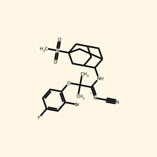 CC(C)(Oc1ccc(F)cc1Br)/C(=N/C#N)NC1C2CC3CC1CC(S(C)(=O)=O)(C3)C2